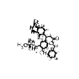 CCn1nnc2c(F)c(C(CC(=O)OCc3ccccc3)c3ccc(C)c(CO[Si](C)(C)C(C)(C)C)c3)ccc21